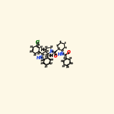 O=C(N[C@@H]1CCCC[C@@H]1C(=O)N1CC[C@@H]2[C@H](C3C=C(Cl)C=CC3)Nc3ccccc3[C@@H]21)c1ccccc1